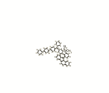 CC1(C)c2cc(N(c3ccccc3)c3ccc(-c4ccc(-c5ccccc5)cc4)cc3)ccc2-c2c(-n3c4ccccc4c4ccc5ccccc5c43)cccc21